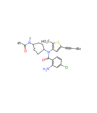 CC(C)C(=O)N(C)C1CCC(N(C(=O)c2ccc(Cl)cc2N)c2cc(C#CC(C)(C)C)sc2C(=O)O)CC1